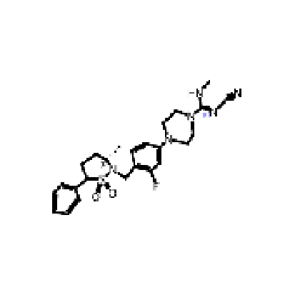 CN/C(=N\C#N)N1CCN(c2ccc(CN3[C@@H](C)CCC(c4ccccc4)S3(=O)=O)c(F)c2)CC1